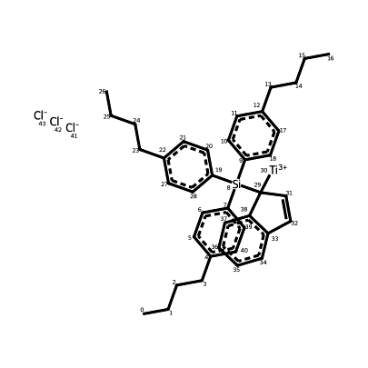 CCCCc1ccc([Si](c2ccc(CCCC)cc2)(c2ccc(CCCC)cc2)[C]2([Ti+3])C=Cc3ccccc32)cc1.[Cl-].[Cl-].[Cl-]